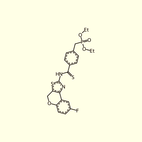 CCOP(=O)(Cc1ccc(C(=S)Nc2nc3c(s2)COc2ccc(F)cc2-3)cc1)OCC